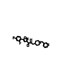 O=C(NCC1CCN(Cc2cccnc2)CC1)c1cc(-c2ccc(F)cc2F)on1